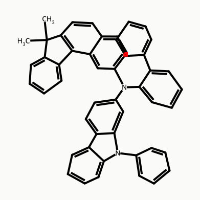 CC1(C)c2ccccc2-c2c1ccc1ccc(N(c3ccc4c5ccccc5n(-c5ccccc5)c4c3)c3ccccc3-c3ccccc3)cc21